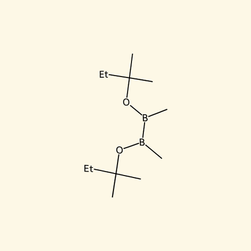 CCC(C)(C)OB(C)B(C)OC(C)(C)CC